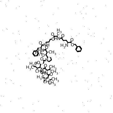 CC[C@H](C)[C@@H]([C@@H](CC(=O)N1CCC[C@H]1[C@H](OC)[C@@H](C)C(=O)N[C@@H](Cc1ccccc1)C(=O)NCCCOC(=O)[C@H](C)NC(=O)CC[C@H](N)C(=O)OCc1ccccc1)OC)N(C)C(=O)[C@@H](NC(=O)[C@H](C(C)C)N(C)C)C(C)C